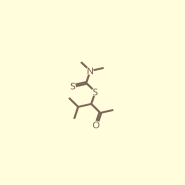 CC(=O)C(SC(=S)N(C)C)C(C)C